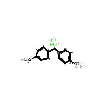 Cl.Cl.O=S(=O)(O)c1ccc(Cc2ccc(S(=O)(=O)O)cc2)cc1